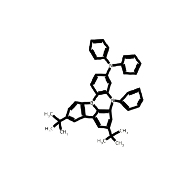 CC(C)(C)c1ccc2c(c1)-c1cc(C(C)(C)C)cc3c1B2c1ccc(N(c2ccccc2)c2ccccc2)cc1N3c1ccccc1